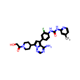 Nc1ncnn2c(C3CCN(C(=O)CO)CC3)cc(-c3ccc(NC(=O)Nc4cc(C(F)(F)F)ccn4)c(F)c3)c12